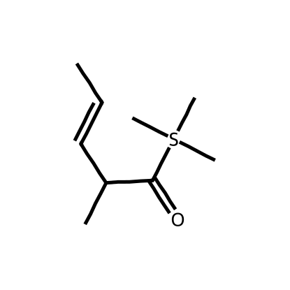 CC=CC(C)C(=O)S(C)(C)C